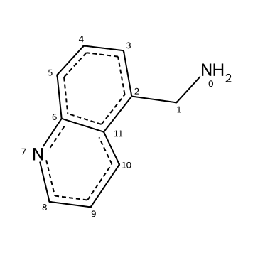 NCc1cccc2ncccc12